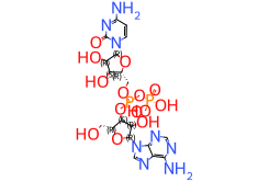 Nc1ccn([C@@H]2O[C@H](COP(=O)(O[C@H]3[C@@H](O)[C@H](n4cnc5c(N)ncnc54)O[C@@H]3CO)OP(=O)(O)O)[C@@H](O)[C@H]2O)c(=O)n1